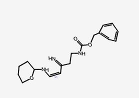 N=C(/C=C\NC1CCCCO1)CCNC(=O)OCc1ccccc1